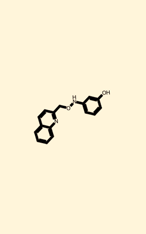 Oc1cccc(NOCc2ccc3ccccc3n2)c1